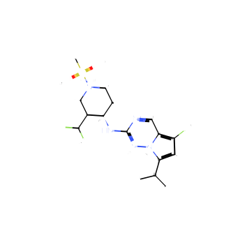 CC(C)c1cc(F)c2cnc(N[C@@H]3CCN(S(C)(=O)=O)CC3C(F)F)nn12